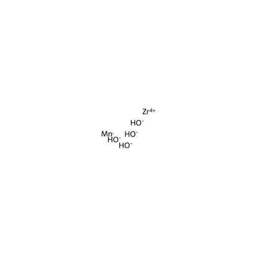 [Mn].[OH-].[OH-].[OH-].[OH-].[Zr+4]